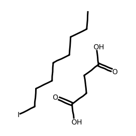 CCCCCCCCI.O=C(O)CCC(=O)O